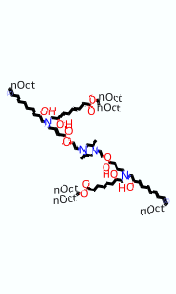 CCCCCCCC/C=C\CCCCCCC(O)CN(CCCC(=O)OCCN1CC(C)N(CCOC(=O)CCCN(CC(O)CCCCCC/C=C\CCCCCCCC)CC(O)CCCCCC(=O)OC(CCCCCCCC)CCCCCCCC)CC1C)CC(O)CCCCCC(=O)OC(CCCCCCCC)CCCCCCCC